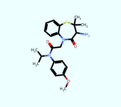 COc1ccc(N(C(=O)CN2C(=O)C(N)C(C)(C)Sc3ccccc32)C(C)C)cc1